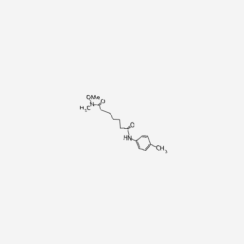 CON(C)C(=O)CCCCCC(=O)Nc1ccc(C)cc1